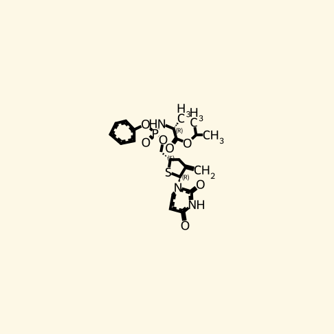 C=C1C[C@@H](COP(=O)(N[C@H](C)C(=O)OC(C)C)Oc2ccccc2)S[C@H]1n1ccc(=O)[nH]c1=O